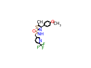 COc1ccc(-c2nc(S(=N)(=O)Cc3ccc(C(F)(F)F)nc3)sc2C)cc1